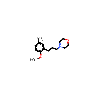 O=C(O)Oc1ccc([N+](=O)[O-])cc1CCCN1CCOCC1